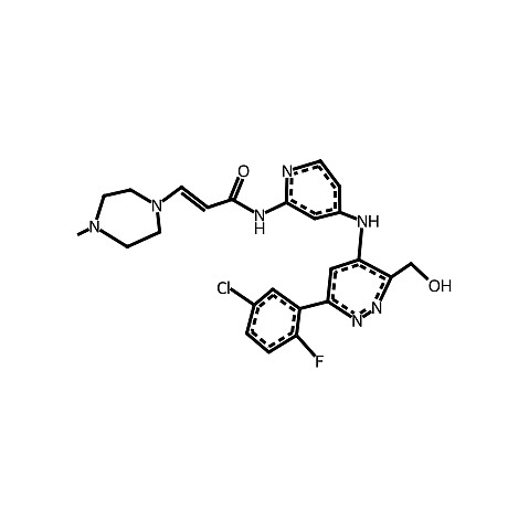 CN1CCN(C=CC(=O)Nc2cc(Nc3cc(-c4cc(Cl)ccc4F)nnc3CO)ccn2)CC1